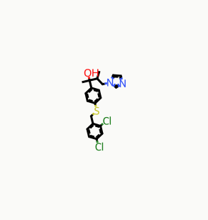 CC(Cn1ccnc1)C(C)(O)c1ccc(SCc2ccc(Cl)cc2Cl)cc1